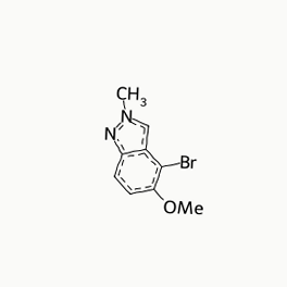 COc1ccc2nn(C)cc2c1Br